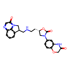 O=C1COc2ccc(N3C[C@H](CCNCC4Cn5c(=O)cnc6cccc4c65)OC3=O)cc2N1